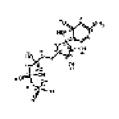 Nc1ccn([C@]2(O)O[C@H](COP(=O)(O)OP(=O)(O)OP(=O)(O)O)[C@@H](O)[C@H]2O)c(=O)n1